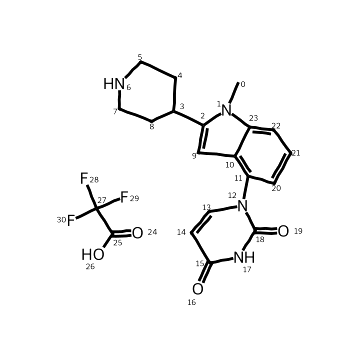 Cn1c(C2CCNCC2)cc2c(-n3ccc(=O)[nH]c3=O)cccc21.O=C(O)C(F)(F)F